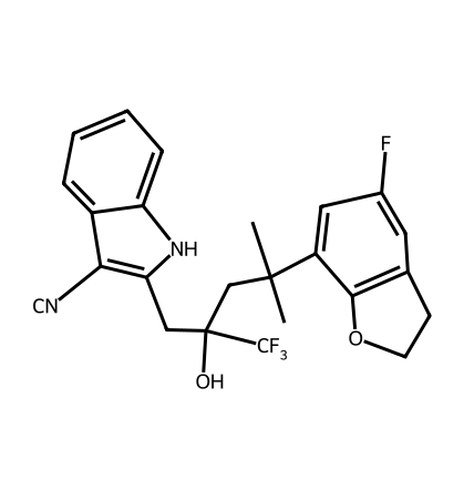 [C-]#[N+]c1c(CC(O)(CC(C)(C)c2cc(F)cc3c2OCC3)C(F)(F)F)[nH]c2ccccc12